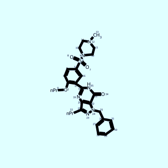 CCCOc1ccc(S(=O)(=O)N2CCN(C)CC2)cc1-c1nc2c(CCC)nn(Cc3ccccc3)c2c(=O)[nH]1